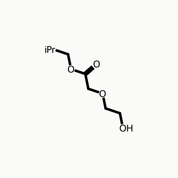 CC(C)COC(=O)COCCO